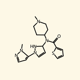 CN1CCC(N(C(=O)c2cccs2)C2C=CN(c3ccnn3C)N2)CC1